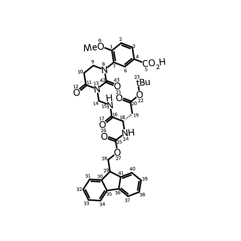 COc1ccc(C(=O)O)cc1N1CCC(=O)N(CNC(=O)[C@H](CC(=O)OC(C)(C)C)NC(=O)OCC2c3ccccc3-c3ccccc32)C1=O